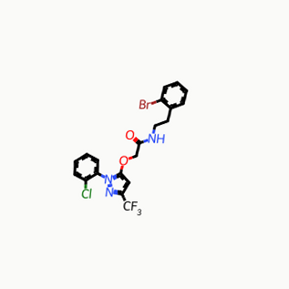 O=C(COc1cc(C(F)(F)F)nn1-c1ccccc1Cl)NCCc1ccccc1Br